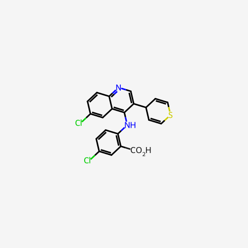 O=C(O)c1cc(Cl)ccc1Nc1c(C2C=CSC=C2)cnc2ccc(Cl)cc12